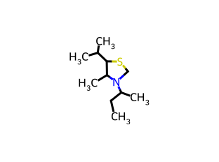 CCC(C)N1CSC(C(C)C)C1C